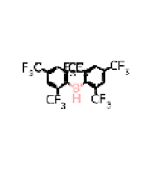 FC(F)(F)c1cc(C(F)(F)F)c(Bc2c(C(F)(F)F)cc(C(F)(F)F)cc2C(F)(F)F)c(C(F)(F)F)c1